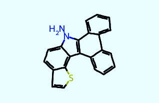 Nn1c2ccc3ccsc3c2c2c3ccccc3c3ccccc3c21